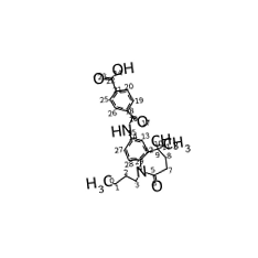 CCCCN1C(=O)CCC(C)(C)c2cc(NC(=O)c3ccc(C(=O)O)cc3)ccc21